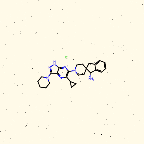 Cl.N[C@@H]1c2ccccc2CC12CCN(c1nc3[nH]nc(N4CCCCC4)c3nc1C1CC1)CC2